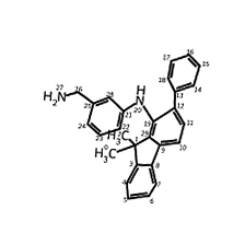 CC1(C)c2ccccc2-c2ccc(-c3ccccc3)c(Nc3cccc(CN)c3)c21